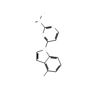 C[S+]([O-])c1nccc(-n2ccc3c(Br)cccc32)n1